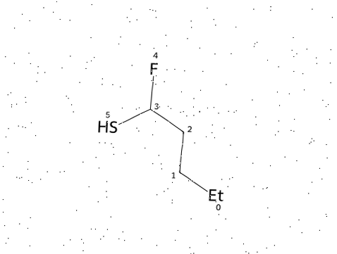 CCCCC(F)S